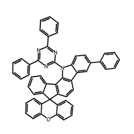 c1ccc(-c2ccc3c(c2)c2ccc4c(c2n3-c2nc(-c3ccccc3)nc(-c3ccccc3)n2)-c2ccccc2C42c3ccccc3Oc3ccccc32)cc1